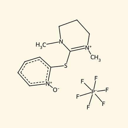 CN1CCC[N+](C)=C1Sc1cccc[n+]1[O-].F[P-](F)(F)(F)(F)F